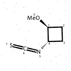 CO[C@H]1CC[C@@H]1N=C=S